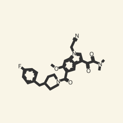 COc1cc2c(cc1C(=O)N1CCC(Cc3ccc(F)cc3)CC1)c(C(=O)C(=O)N(C)C)cn2CC#N